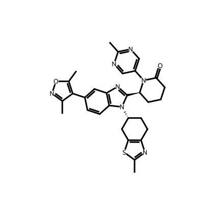 Cc1ncc(N2C(=O)CCC[C@H]2c2nc3cc(-c4c(C)noc4C)ccc3n2[C@@H]2CCc3nc(C)sc3C2)cn1